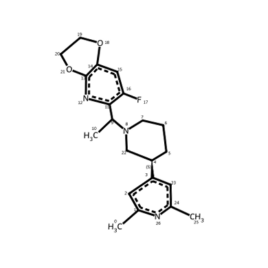 Cc1cc([C@@H]2CCCN(C(C)c3nc4c(cc3F)OCCO4)C2)cc(C)n1